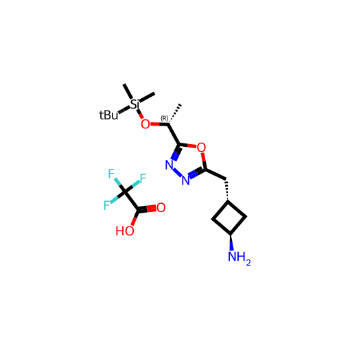 C[C@@H](O[Si](C)(C)C(C)(C)C)c1nnc(C[C@H]2C[C@H](N)C2)o1.O=C(O)C(F)(F)F